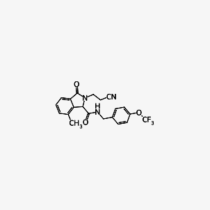 Cc1cccc2c1C(C(=O)NCc1ccc(OC(F)(F)F)cc1)N(CCC#N)C2=O